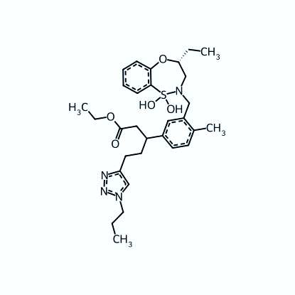 CCCn1cc(CCC(CC(=O)OCC)c2ccc(C)c(CN3C[C@@H](CC)Oc4ccccc4S3(O)O)c2)nn1